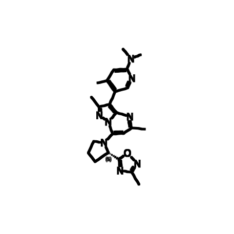 Cc1cc(N2CCC[C@H]2c2nc(C)no2)n2nc(C)c(-c3cnc(N(C)C)cc3C)c2n1